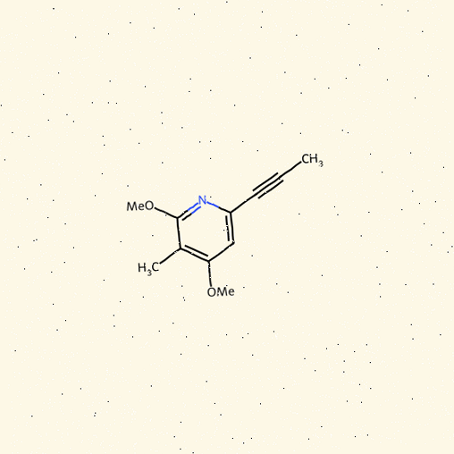 CC#Cc1cc(OC)c(C)c(OC)n1